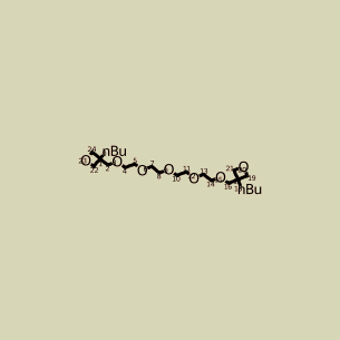 CCCCC1(COCCOCCOCCOCCOCC2(CCCC)COC2)COC1